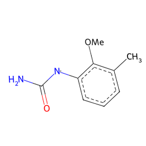 COc1c(C)cccc1[N]C(N)=O